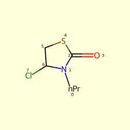 CCCN1C(=O)SCC1Cl